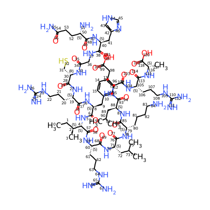 CC[C@H](C)[C@H](NC(=O)[C@H](Cc1ccccc1)NC(=O)[C@H](CCCNC(=N)N)NC(=O)[C@H](CS)NC(=O)CNC(=O)[C@H](Cc1c[nH]cn1)NC(=O)[C@@H](N)CCC(N)=O)C(=O)N[C@@H](CCCNC(=N)N)C(=O)N[C@@H](CC(C)C)C(=O)N[C@@H](CCCCN)C(=O)N[C@@H](CC(C)C)C(=O)N[C@@H](CCC(=O)O)C(=O)N[C@@H](CCCNC(=N)N)C(=O)N[C@@H](C)C(=O)O